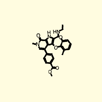 CCNC(=O)c1[nH]c2c(=O)n(C)cc(-c3ccc(C(=O)OC)cc3)c2c1Oc1c(C)cccc1C